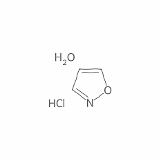 Cl.O.c1cnoc1